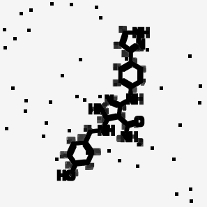 NC(=O)c1c(Nc2ccc(-c3cc[nH]n3)cc2)n[nH]c1NCc1ccc(O)cc1